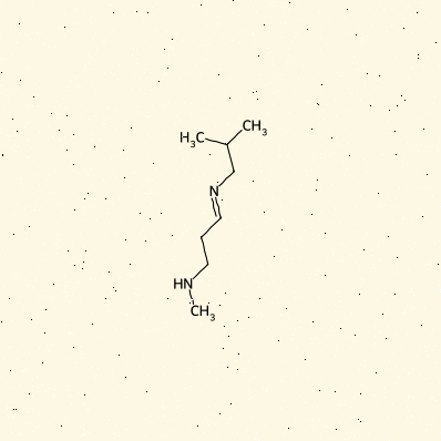 CNCCC=NCC(C)C